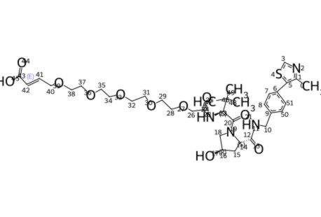 Cc1ncsc1-c1ccc(CNC(=O)[C@@H]2C[C@@H](O)CN2C(=O)[C@@H](NC(=O)COCCOCCOCCOCCOC/C=C/C(=O)O)C(C)(C)C)cc1